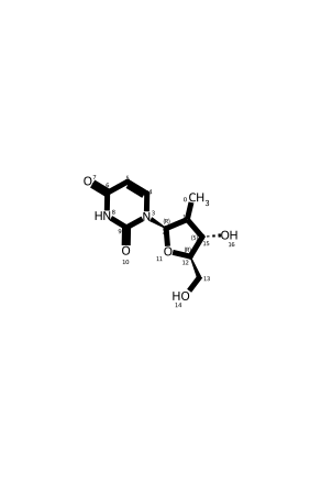 CC1[C@H](n2ccc(=O)[nH]c2=O)O[C@H](CO)[C@H]1O